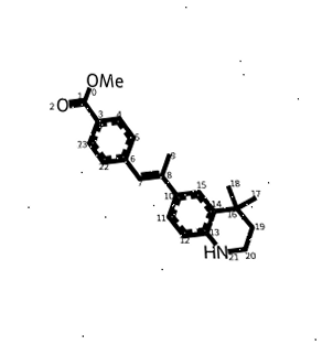 COC(=O)c1ccc(/C=C(\C)c2ccc3c(c2)C(C)(C)CCN3)cc1